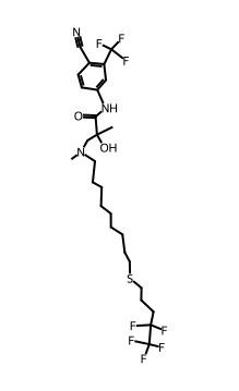 CN(CCCCCCCCCSCCCC(F)(F)C(F)(F)F)CC(C)(O)C(=O)Nc1ccc(C#N)c(C(F)(F)F)c1